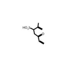 C=CC(=O)CC(C(=C)C)S(=O)(=O)O